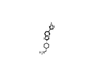 Cn1cc(-c2ccc3nc([C@H]4CC[C@H](CN)CC4)cn3c2)cn1